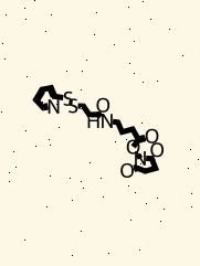 O=C(CCSSc1ccccn1)NCCCC(=O)ON1C(=O)CCC1=O